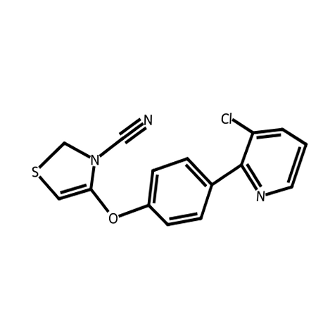 N#CN1CSC=C1Oc1ccc(-c2ncccc2Cl)cc1